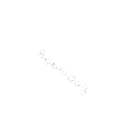 c1ccc2c(-c3ccc(-c4ncc(-c5cc6sc(-c7cnc(-c8ccc(-c9csc%10ccccc9%10)cc8)nc7)cc6s5)cn4)cc3)csc2c1